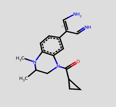 CC1CN(C(=O)C2CC2)c2cc(/C(C=N)=C/N)ccc2N1C